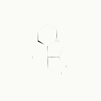 CC[C@](O)(C(=O)O)[C@H]1CCCCN1